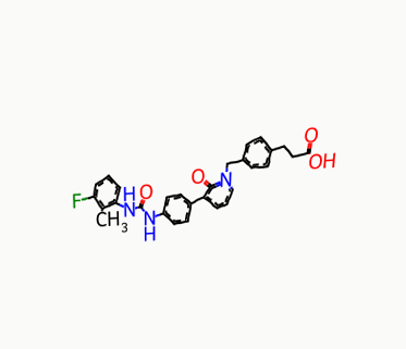 Cc1c(F)cccc1NC(=O)Nc1ccc(-c2cccn(Cc3ccc(CCC(=O)O)cc3)c2=O)cc1